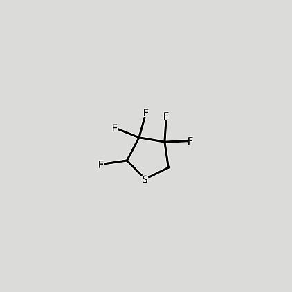 FC1SCC(F)(F)C1(F)F